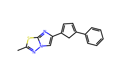 Cc1nn2cc(C3=CC=C(c4ccccc4)C3)nc2s1